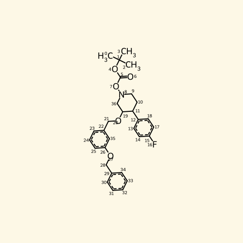 CC(C)(C)OC(=O)ON1CCC(c2ccc(F)cc2)C(OCc2cccc(OCc3ccccc3)c2)C1